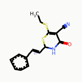 CCSC1=C(C#N)C(=O)NC(/C=C/c2ccccc2)S1